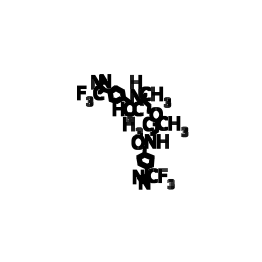 CC(C)(CCOC(C)(C)CCNC(=O)c1ccc(C2(C(F)(F)F)N=N2)cc1)NC(=O)c1ccc(C2(C(F)(F)F)N=N2)cc1